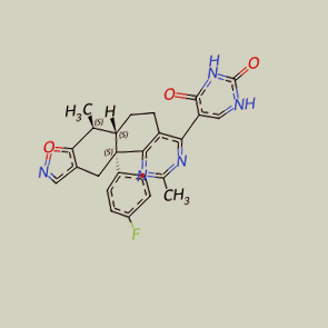 Cc1nc(-c2c[nH]c(=O)[nH]c2=O)c2c(n1)[C@@]1(c3ccc(F)cc3)Cc3cnoc3[C@@H](C)[C@@H]1CC2